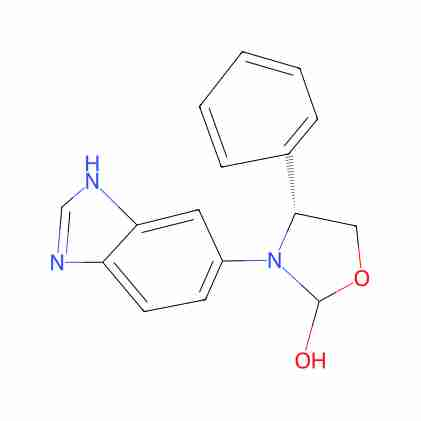 OC1OC[C@@H](c2ccccc2)N1c1ccc2nc[nH]c2c1